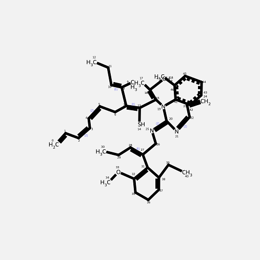 C=C/C=C\C=C/CC(/C(C)=C/CC)=C(\S)C(=C(C)C)N(C(/N=C\C=C)=N/C/C(=C/CC)C1=C(OC)CCC=C1CC)c1ccccc1C